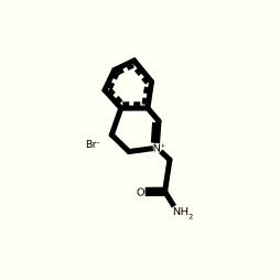 NC(=O)C[N+]1=Cc2ccccc2CC1.[Br-]